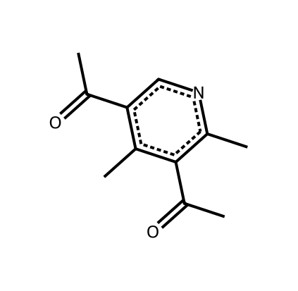 CC(=O)c1cnc(C)c(C(C)=O)c1C